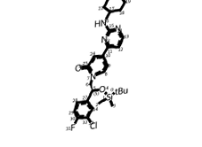 CC(C)(C)[Si](C)(C)O[C@H](Cn1ccc(-c2ccnc(NC3CCOCC3)n2)cc1=O)c1ccc(F)c(Cl)c1